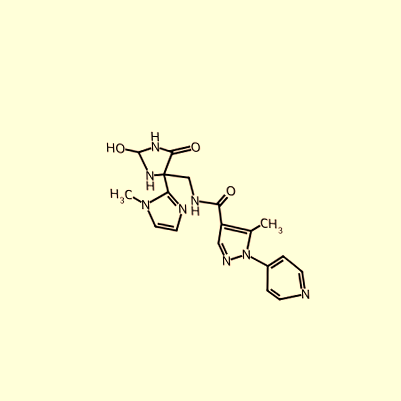 Cc1c(C(=O)NCC2(c3nccn3C)NC(O)NC2=O)cnn1-c1ccncc1